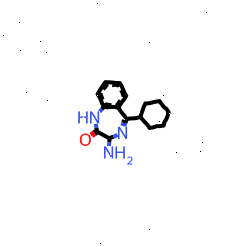 NC1N=C(C2CCCCC2)c2ccccc2NC1=O